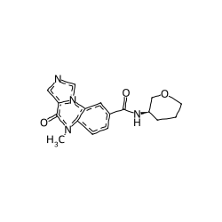 Cn1c(=O)c2cncn2c2cc(C(=O)N[C@@H]3CCCOC3)ccc21